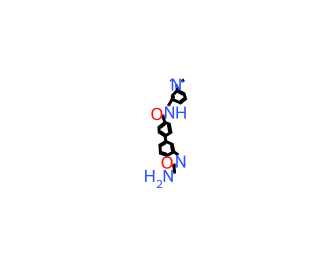 CN(Cc1cccc(-c2ccc(C(=O)NCc3cccc(N(C)C)c3)cc2)c1)C(=O)CN